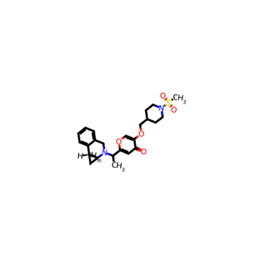 CC(c1cc(=O)c(OCC2CCN(S(C)(=O)=O)CC2)co1)N1Cc2ccccc2[C@H]2C[C@H]21